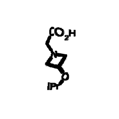 CC(C)OC1CN(CC(=O)O)C1